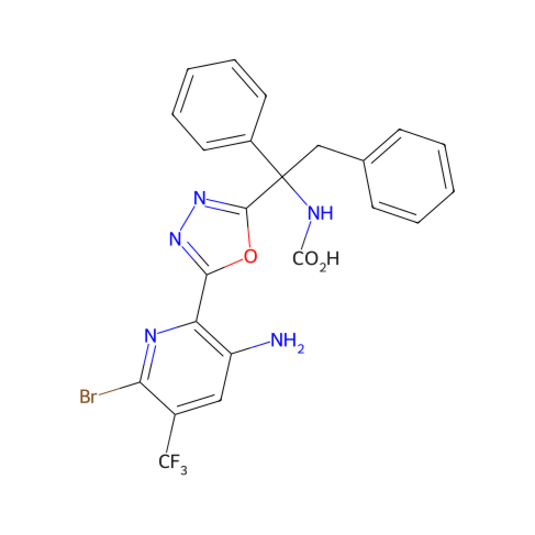 Nc1cc(C(F)(F)F)c(Br)nc1-c1nnc(C(Cc2ccccc2)(NC(=O)O)c2ccccc2)o1